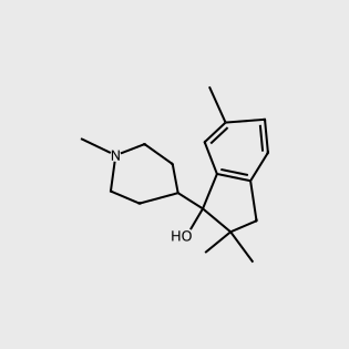 Cc1ccc2c(c1)C(O)(C1CCN(C)CC1)C(C)(C)C2